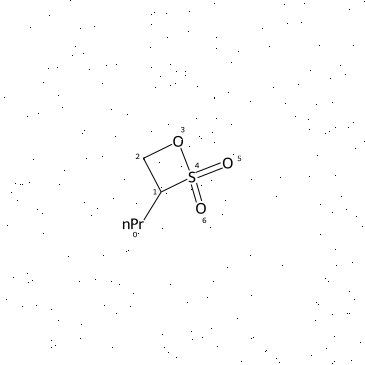 CCCC1COS1(=O)=O